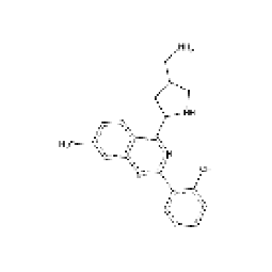 Cc1ccc2c(C3CC(CN)CN3)nc(-c3ccccc3O)nc2c1